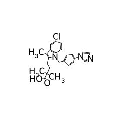 Cc1c(CCC(C)(C)C(=O)O)n(Cc2ccc(-n3ccnc3)cc2)c2ccc(Cl)cc12